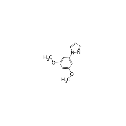 COc1cc(OC)cc(-n2cc[c]n2)c1